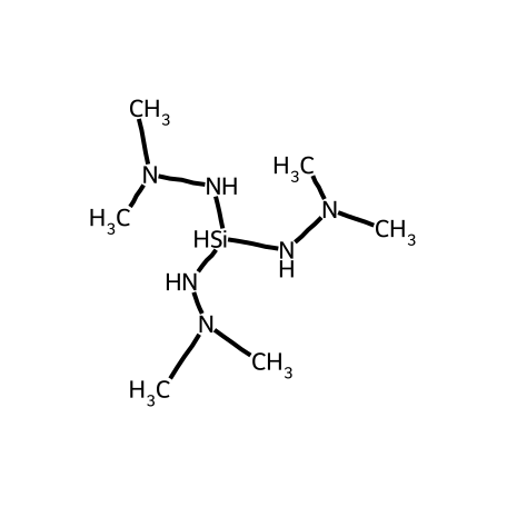 CN(C)N[SiH](NN(C)C)NN(C)C